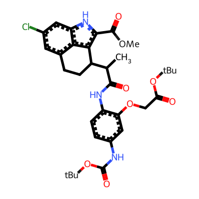 COC(=O)c1[nH]c2cc(Cl)cc3c2c1C(C(C)C(=O)Nc1ccc(NC(=O)OC(C)(C)C)cc1OCC(=O)OC(C)(C)C)CC3